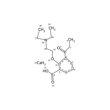 CCC(=O)c1cccc(C(=O)O)c1OCCN(CC)CC.[CaH2]